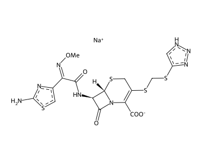 CO/N=C(\C(=O)N[C@@H]1C(=O)N2C(C(=O)[O-])=C(SCSc3c[nH]nn3)CS[C@@H]12)c1csc(N)n1.[Na+]